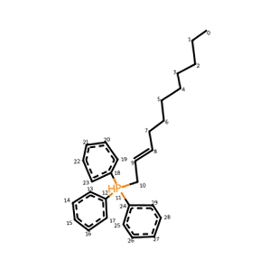 CCCCCCCCC=CC[PH](c1ccccc1)(c1ccccc1)c1ccccc1